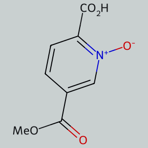 COC(=O)c1ccc(C(=O)O)[n+]([O-])c1